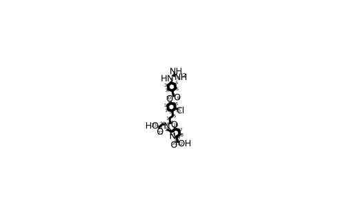 N=C(N)Nc1ccc(C(=O)Oc2ccc(CCC(=O)N(CC(=O)O)Cc3cccc(C(=O)O)n3)c(Cl)c2)cc1